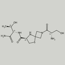 C[C@@H](O)[C@H](NC(=O)[C@@H]1CSC2(CN(C(=O)[C@@H](N)CO)C2)N1)C(N)=O